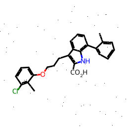 Cc1ccccc1-c1cccc2c(CCCOc3cccc(Cl)c3C)c(C(=O)O)[nH]c12